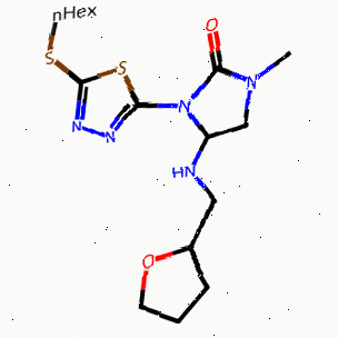 CCCCCCSc1nnc(N2C(=O)N(C)CC2NCC2CCCO2)s1